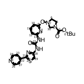 CC(C)(C)OC(=O)N1CCN(Oc2cccc(NC(=O)Nc3csc(-c4ccncc4)n3)n2)C1